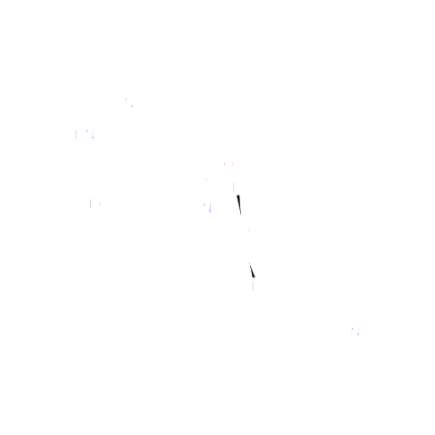 Cc1cc(C(=O)N2CCC[C@H]3c4cc(C#N)ccc4C[C@H]32)cc2nc[nH]c12